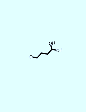 [O]CCC[C](O)O